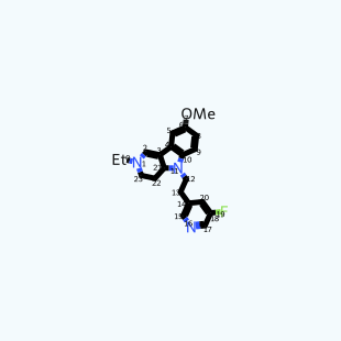 CCN1C=C2c3cc(OC)ccc3N(CCc3cncc(F)c3)C2CC1